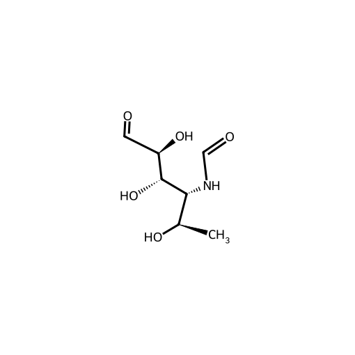 C[C@@H](O)[C@@H](NC=O)[C@H](O)[C@H](O)C=O